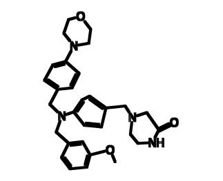 COc1cccc(CN(Cc2ccc(N3CCOCC3)cc2)c2ccc(CN3CCNC(=O)C3)cc2)c1